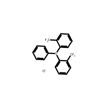 FC(F)(F)c1ccccc1[S+](c1ccccc1)c1ccccc1C(F)(F)F.[Cl-]